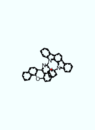 c1ccc(-n2c3ccccc3c3ccc4c5ccccc5n(-c5nc6c7c(cccc7n5)Oc5c-6ccc6ccccc56)c4c32)cc1